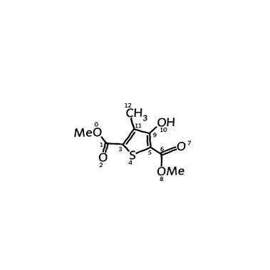 COC(=O)c1sc(C(=O)OC)c(O)c1C